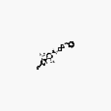 C[C@@H]1CN(C(=O)OC2CC3(C2)CN(Cc2ccccc2)C3)C[C@@H](C)N1c1ncc(C#N)cn1